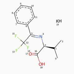 CC(C)[C@H](N=C(c1ccccc1)C(F)(F)F)C(=O)O.[KH]